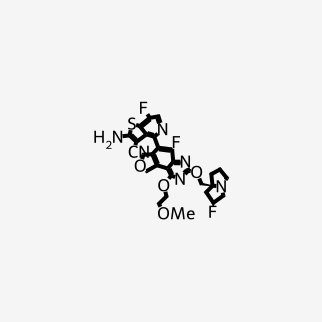 COCCOc1nc(OC[C@@]23CCCN2C[C@H](F)C3)nc2c(F)c(-c3ncc(F)c4sc(N)c(C#N)c34)c3c(c12)COC3